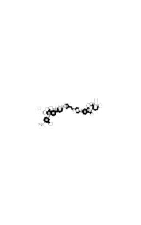 CC1(C)C(=O)N(c2ccc(C#N)c(Cl)c2)c2ccc(-c3ccc(N4CCC(CCN5CCN(c6ccc7c(c6)C(=O)N(C6CCC(=O)NC6=O)C7=O)CC5)C4)nc3)cc21